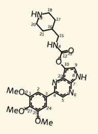 COc1cc(-c2cnc3[nH]cc(OC(=O)NCC4CCNCC4)c3n2)cc(OC)c1OC